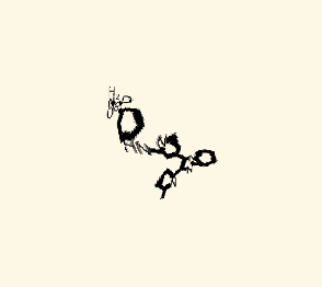 Cc1cccc(-c2nc3n(c2-c2ccnc(Nc4ccc(S(N)(=O)=O)cc4)c2)C2CCC3C2)n1